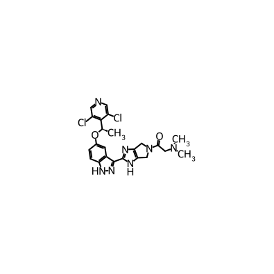 C[C@@H](Oc1ccc2[nH]nc(-c3nc4c([nH]3)CN(C(=O)CN(C)C)C4)c2c1)c1c(Cl)cncc1Cl